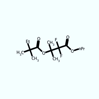 CCCOC(=O)C(F)(F)C(C)(C)OC(=O)C(C)(C)CC